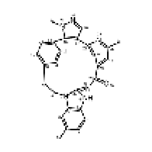 Cc1ccc2c(c1)N1CCc3ccc(cc3)-c3c(cnn3C)-c3cc(cc(C)n3)C(=O)/N=C/1N2